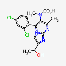 Cc1nc2nc(C(C)O)cn2c(-c2ccc(Cl)cc2Cl)c1N(C)C(=O)O